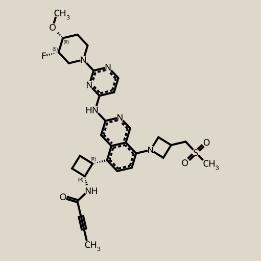 CC#CC(=O)N[C@@H]1CC[C@@H]1c1ccc(N2CC(CS(C)(=O)=O)C2)c2cnc(Nc3ccnc(N4CC[C@@H](OC)[C@@H](F)C4)n3)cc12